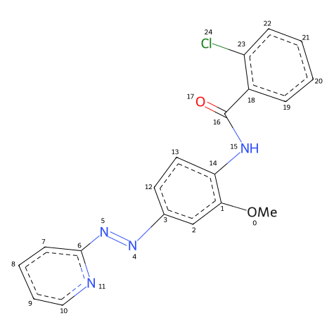 COc1cc(N=Nc2ccccn2)ccc1NC(=O)c1ccccc1Cl